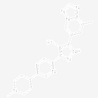 Cc1cc(-c2[nH]nc(-c3ccc(C4CCN(C)CC4)cn3)c2C(C)C)cn2ncnc12